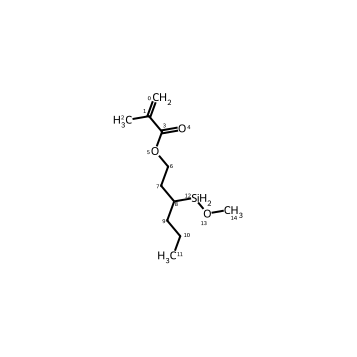 C=C(C)C(=O)OCCC(CCC)[SiH2]OC